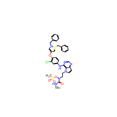 CC(C)(C)NC(=O)N(CCn1ccc2ncnc(Nc3ccc(OC4=CN(Cc5ccccc5)S(Cc5ccccc5)=C4)c(Cl)c3)c21)OS(C)(=O)=O